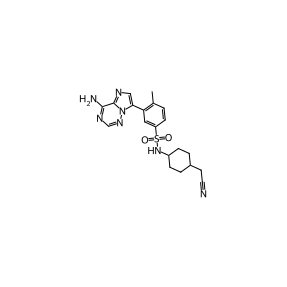 Cc1ccc(S(=O)(=O)NC2CCC(CC#N)CC2)cc1-c1cnc2c(N)ncnn12